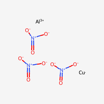 O=[N+]([O-])[O-].O=[N+]([O-])[O-].O=[N+]([O-])[O-].[Al+3].[Cu]